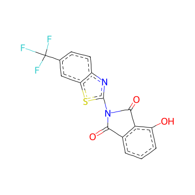 O=C1c2cccc(O)c2C(=O)N1c1nc2ccc(C(F)(F)F)cc2s1